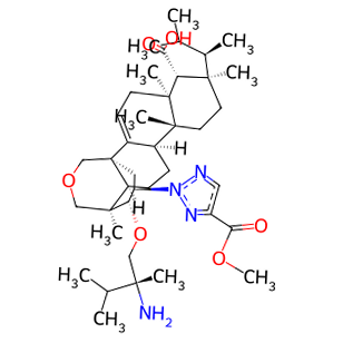 COC(=O)c1cnn([C@@H]2C[C@@]34COC[C@@](C)([C@@H]3CC[C@H]3C4=CC[C@@]4(C)[C@H](C(=O)O)[C@@](C)([C@H](C)C(C)C)CC[C@]34C)[C@H]2OC[C@](C)(N)C(C)C)n1